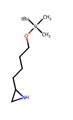 CC(C)(C)[Si](C)(C)OCCCCC1CN1